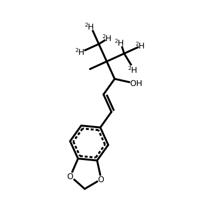 [2H]C([2H])([2H])C(C)(C(O)/C=C/c1ccc2c(c1)OCO2)C([2H])([2H])[2H]